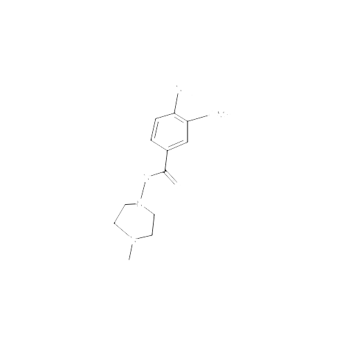 COc1cc(C(=O)NN2CCN(C)CC2)ccc1N